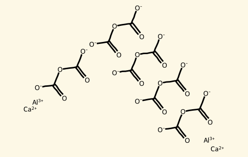 O=C([O-])OC(=O)[O-].O=C([O-])OC(=O)[O-].O=C([O-])OC(=O)[O-].O=C([O-])OC(=O)[O-].O=C([O-])OC(=O)[O-].[Al+3].[Al+3].[Ca+2].[Ca+2]